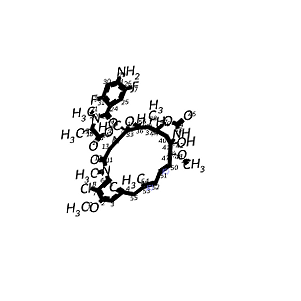 COc1cc2cc(c1Cl)N(C)C(=O)C[C@H](OC(=O)[C@H](C)N(C)C(=O)c1cc(F)c(N)cc1F)[C@]1(C)O[C@H]1[C@H](C)[C@@H]1C[C@@](O)(NC(=O)O1)[C@H](OC)/C=C/C=C(\C)C2